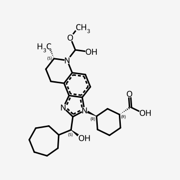 COC(O)N1c2ccc3c(nc([C@@H](O)C4CCCCCC4)n3[C@@H]3CCC[C@@H](C(=O)O)C3)c2CC[C@@H]1C